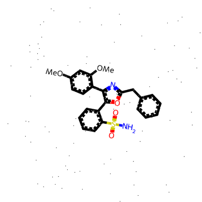 COc1ccc(-c2nc(Cc3ccccc3)oc2-c2ccccc2S(N)(=O)=O)c(OC)c1